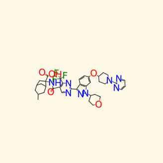 CC1CC2CC(C1)C(NC(=O)c1cnc(-c3nn(C4CCOCC4)c4cc(OC5CCN(c6ncccn6)CC5)ccc34)nc1C(F)(F)F)(C(=O)O)C2